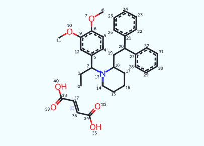 CCC(c1ccc(OC)c(OC)c1)N1CCCCC1CC(c1ccccc1)c1ccccc1.O=C(O)/C=C/C(=O)O